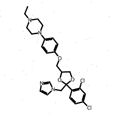 CCN1CCN(c2ccc(OCC3COC(Cn4ccnc4)(c4ccc(Cl)cc4Cl)O3)cc2)CC1